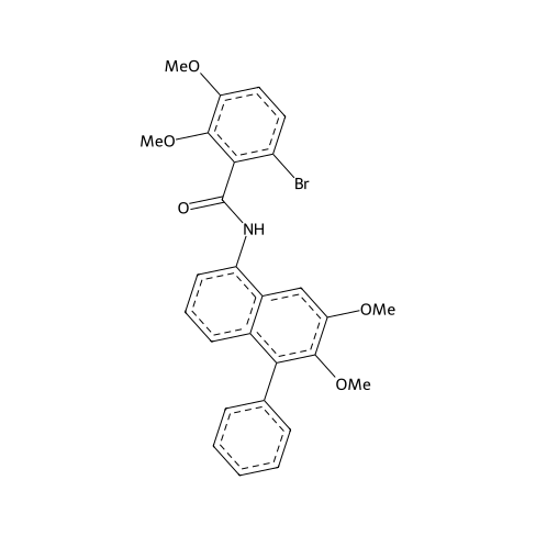 COc1ccc(Br)c(C(=O)Nc2cccc3c(-c4ccccc4)c(OC)c(OC)cc23)c1OC